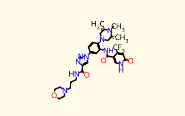 C[C@@H]1CN(c2ccc(-n3cc(C(=O)NCCCN4CCOCC4)nn3)cc2NC(=O)c2c[nH]c(=O)cc2C(F)(F)F)C[C@H](C)N1C